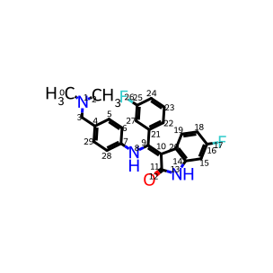 CN(C)Cc1ccc(N/C(=C2\C(=O)Nc3cc(F)ccc32)c2cccc(F)c2)cc1